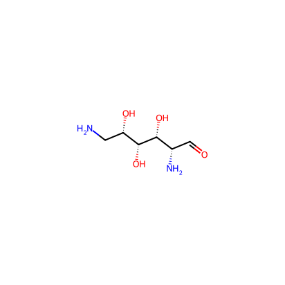 NC[C@H](O)[C@@H](O)[C@H](O)[C@@H](N)C=O